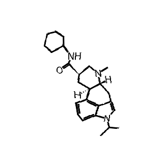 CC(C)n1cc2c3c(cccc31)[C@H]1C[C@@H](C(=O)NC3CCCCC3)CN(C)[C@@H]1C2